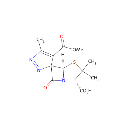 COC(=O)C1=C(C)N=NC12C(=O)N1[C@@H](C(=O)O)C(C)(C)S[C@@H]12